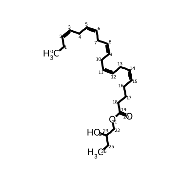 CC/C=C\C/C=C\C/C=C\C/C=C\C/C=C\CCCC(=O)OCC(O)CC